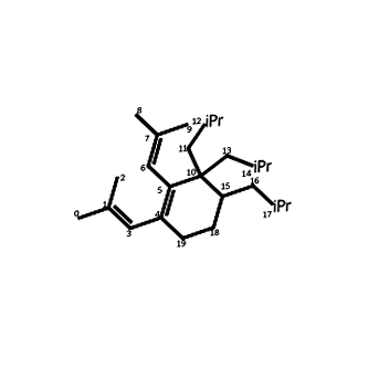 CC(C)=CC1=C(C=C(C)C)C(CC(C)C)(CC(C)C)C(CC(C)C)CC1